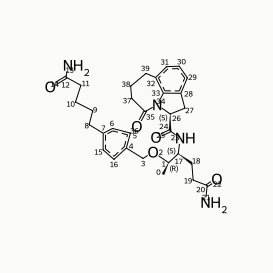 C[C@@H](OCc1ccc(CCCCC(N)=O)cc1)[C@H](CCC(N)=O)NC(=O)[C@@H]1Cc2cccc3c2N1C(=O)CCC3